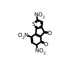 O=C1C2=C(C([N+](=O)[O-])=CC([N+](=O)[O-])C2=O)c2sc([N+](=O)[O-])cc21